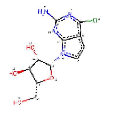 Nc1nc(Cl)c2ccn([C@@H]3O[C@H](CO)[C@@H](O)[C@@H]3O)c2n1